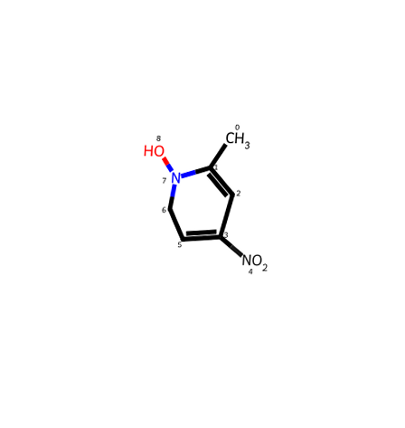 CC1=CC([N+](=O)[O-])=CCN1O